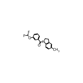 Cc1ccc2c(c1)CCN2C(=O)c1cccc(OC(F)F)c1